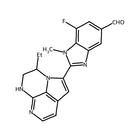 CCC1CNc2nccc3cc(-c4nc5cc(C=O)cc(F)c5n4C)n1c23